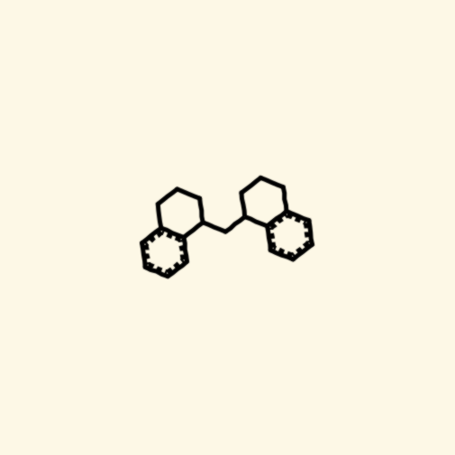 c1ccc2c(c1)CCCC2CC1CCCc2ccccc21